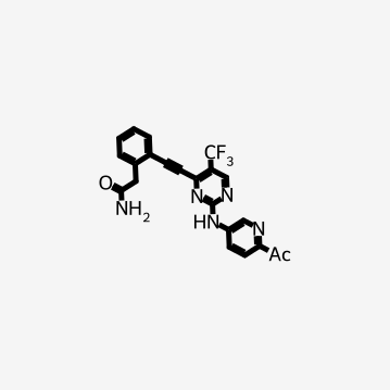 CC(=O)c1ccc(Nc2ncc(C(F)(F)F)c(C#Cc3ccccc3CC(N)=O)n2)cn1